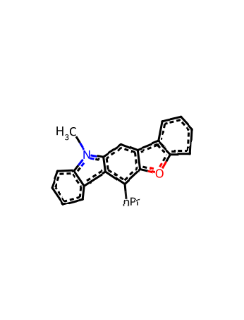 CCCc1c2oc3ccccc3c2cc2c1c1ccccc1n2C